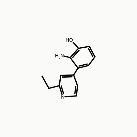 CCc1cc(-c2cccc(O)c2N)ccn1